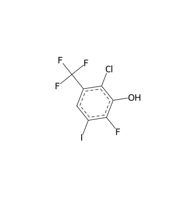 Oc1c(F)c(I)cc(C(F)(F)F)c1Cl